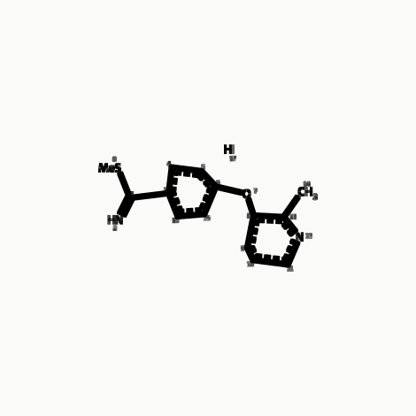 CSC(=N)c1ccc(Oc2cccnc2C)cc1.I